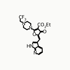 CCOC(=O)C1=C(N2CCN(CC(F)(F)F)CC2)OC(=Cc2c[nH]c3ncccc23)C1=O